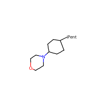 CCCC(C)C1CCC(N2CCOCC2)CC1